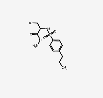 CCCc1ccc(S(=O)(=O)NC(CO)C(=O)ON)cc1